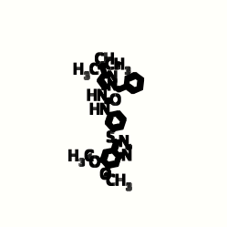 COc1cc2ncnc(Sc3cccc(NC(=O)Nc4cc(C(C)(C)C)nn4Cc4ccccc4)c3)c2cc1OC